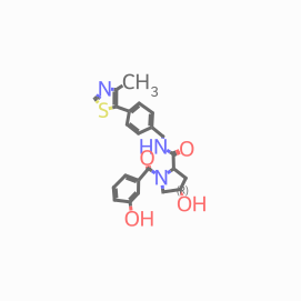 Cc1ncsc1-c1ccc(CNC(=O)C2C[C@@H](O)CN2C(=O)c2cccc(O)c2)cc1